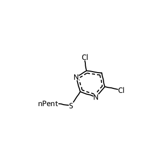 CCCCCSc1nc(Cl)cc(Cl)n1